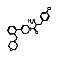 NC(Cc1ccc(Cl)cc1)C(=O)N1CC=C(c2ccccc2CN2CCOCC2)CC1